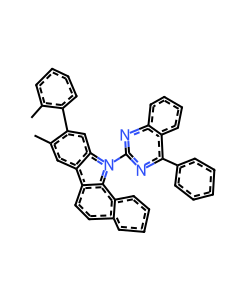 Cc1ccccc1-c1cc2c(cc1C)c1ccc3ccccc3c1n2-c1nc(-c2ccccc2)c2ccccc2n1